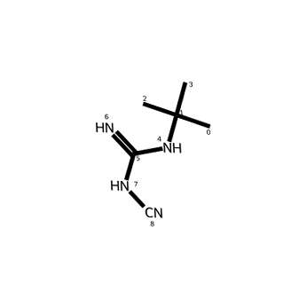 CC(C)(C)NC(=N)NC#N